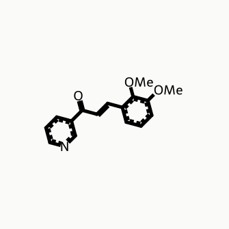 COc1cccc(/C=C/C(=O)c2cccnc2)c1OC